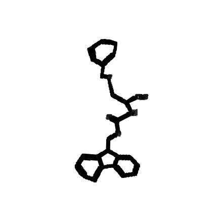 O=C[C@H](COCc1ccccc1)NC(=O)OCC1c2ccccc2-c2ccccc21